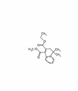 CCOC(=O)C1=C(C(=O)OC)c2ccccc2C(C)(C)C1